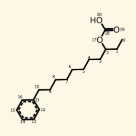 CCC(CCCCCCCCc1ccccc1)OC(=O)O